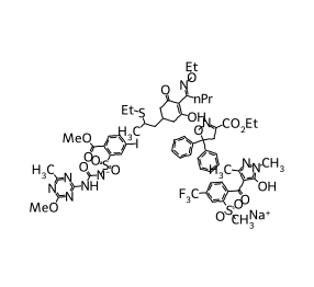 CCCC(=NOCC)C1=C(O)CC(CC(C)SCC)CC1=O.CCOC(=O)C1=NOC(c2ccccc2)(c2ccccc2)C1.COC(=O)c1ccc(I)cc1S(=O)(=O)[N-]C(=O)Nc1nc(C)nc(OC)n1.Cc1nn(C)c(O)c1C(=O)c1ccc(C(F)(F)F)cc1S(C)(=O)=O.[Na+]